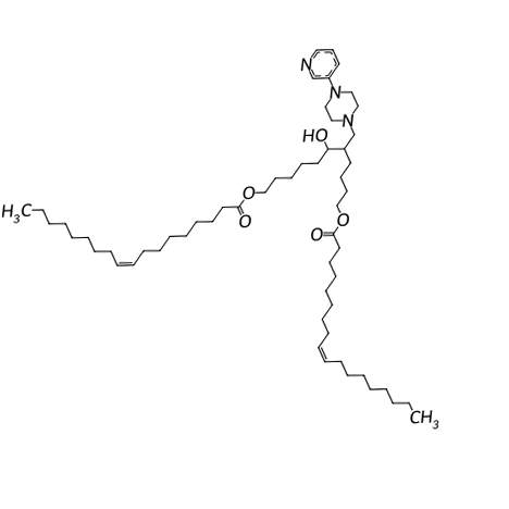 CCCCCCCC/C=C\CCCCCCCC(=O)OCCCCCC(O)C(CCCCOC(=O)CCCCCCC/C=C\CCCCCCCC)CN1CCN(c2cccnc2)CC1